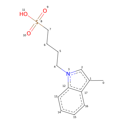 Cc1cn(CCCCS(=O)(=O)O)c2ccccc12